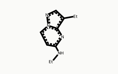 CCNc1ccn2ncc(CC)c2n1